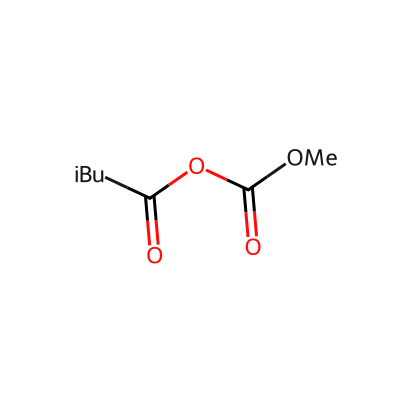 CCC(C)C(=O)OC(=O)OC